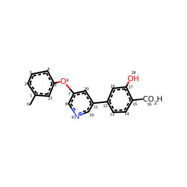 Cc1cccc(Oc2cncc(-c3ccc(C(=O)O)c(O)c3)c2)c1